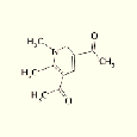 CC(=O)C1=CC(C(C)=O)=C(C)N(C)C1